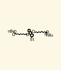 CCCCOC(=O)CCCCCCCCOc1c2ccccc2c(OCCCCCCCCC(=O)OCCCC)c2cc(CC)ccc12